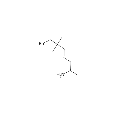 CC(N)CCCC(C)(C)CC(C)(C)C